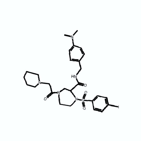 CN(C)c1ccc(CNC(=O)C2CN(C(=O)CN3CCCCC3)CCN2S(=O)(=O)c2ccc(I)cc2)cc1